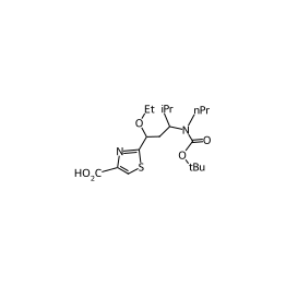 CCCN(C(=O)OC(C)(C)C)C(CC(OCC)c1nc(C(=O)O)cs1)C(C)C